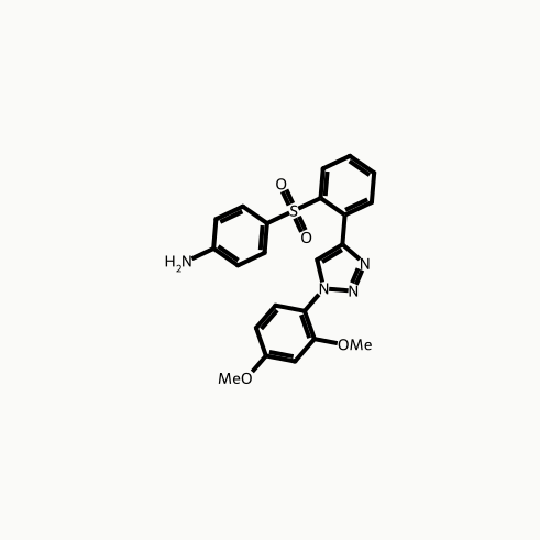 COc1ccc(-n2cc(-c3ccccc3S(=O)(=O)c3ccc(N)cc3)nn2)c(OC)c1